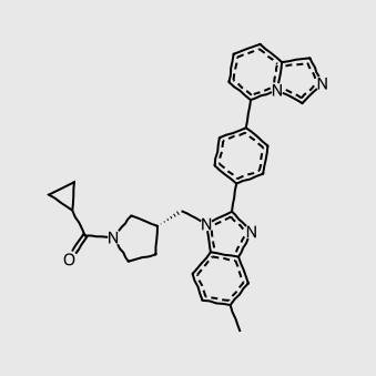 Cc1ccc2c(c1)nc(-c1ccc(-c3cccc4cncn34)cc1)n2C[C@@H]1CCN(C(=O)C2CC2)C1